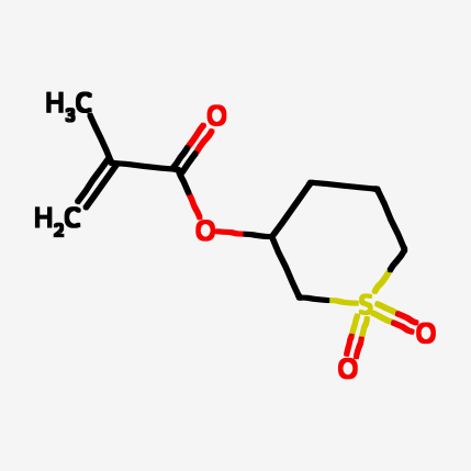 C=C(C)C(=O)OC1CCCS(=O)(=O)C1